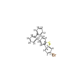 Brc1ccc2c(c1)sc1cc3c4ccccc4c4ccccc4c3cc12